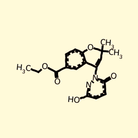 CCOC(=O)c1ccc2c(c1)C(n1nc(O)ccc1=O)=CC(C)(C)O2